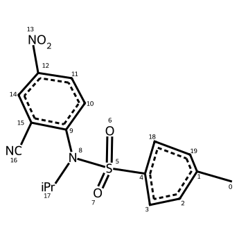 Cc1ccc(S(=O)(=O)N(c2ccc([N+](=O)[O-])cc2C#N)C(C)C)cc1